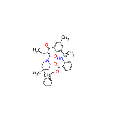 C=Cc1c(N2CCC(C)(C)CC2)oc2c([C@@H](C)Nc3ccccc3C(=O)OCc3ccccc3)cc(C)cc2c1=O